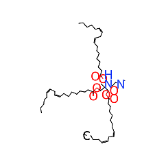 CCCCC/C=C\C/C=C\CCCCCCCC(=O)OCC(COC(=O)CCCCCCC/C=C\C/C=C\CCCCC)(COC(=O)CCCCCCC/C=C\C/C=C\CCCCC)NC(=O)CN(C)C